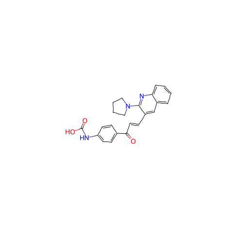 O=C(O)Nc1ccc(C(=O)/C=C/c2cc3ccccc3nc2N2CCCC2)cc1